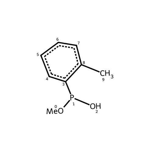 COP(O)c1ccccc1C